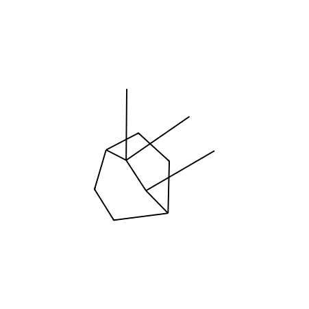 CC1C2CCC(CC2)C1(C)C